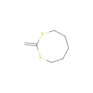 C=C1SCCCCCS1